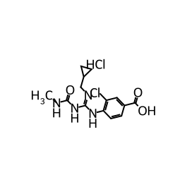 CNC(=O)NC(=NCC1CC1)Nc1ccc(C(=O)O)cc1Cl.Cl